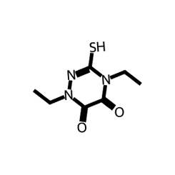 CCn1nc(S)n(CC)c(=O)c1=O